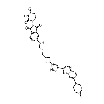 CN1CCC(c2ccc3ncc(-c4cnn(C5CC(CCCNc6ccc7c(c6)C(=O)N(C6CCC(=O)NC6=O)C7=O)C5)c4)nc3c2)CC1